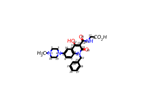 CN1CCN(c2ccc3c(c2)c(O)c(C(=O)NCC(=O)O)c(=O)n3Cc2ccccc2)CC1